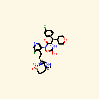 O=C(O)N[C@H](C(=O)Nc1cncc(F)c1CC[C@H]1CN[C@@H]2CCCS(=O)(=O)N1C2)[C@@H](c1ccc(Cl)cc1)C1CCOCC1